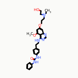 CCN(CCO)CCCOc1cc(OC)c2c(NCCc3ccc(NC(=O)Nc4ccccc4)cc3)ncnc2c1